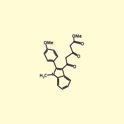 COC(=O)CC(=O)CC(=O)c1c(-c2ccc(OC)cc2)n(C)c2ccccc12